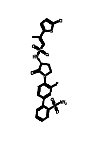 C/C(=C\S(=O)(=O)N[C@H]1CCN(c2ccc(-c3ccccc3S(N)(=O)=O)cc2F)C1=O)c1ccc(Cl)s1